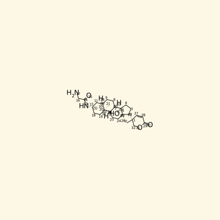 CC1([C@H]2CC[C@]3(O)[C@@H]4CC[C@@H]5C[C@@H](NC(=O)CN)CC[C@]5(C)[C@H]4CC[C@]23C)C=CC(=O)OC1